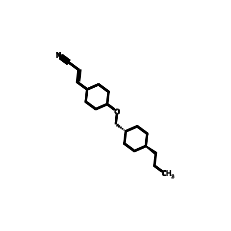 CCC[C@H]1CC[C@H](COC2CCC(C=CC#N)CC2)CC1